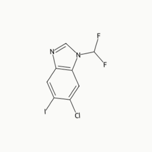 FC(F)n1cnc2cc(I)c(Cl)cc21